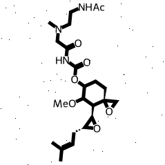 COC1C(OC(=O)NC(=O)CN(C)CCNC(C)=O)CC[C@]2(CO2)C1[C@H]1O[C@@H]1CC=C(C)C